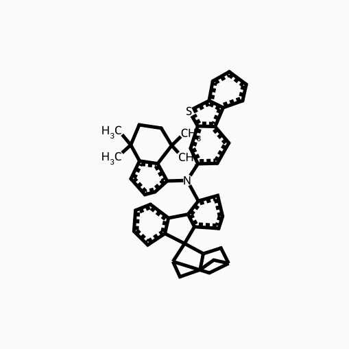 CC1(C)CCC(C)(C)c2c(N(c3ccc4c(c3)sc3ccccc34)c3cccc4c3-c3ccccc3C43C4CC5CC(C4)C3C5)cccc21